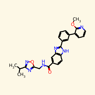 COc1ncccc1-c1cccc(-c2nc3cc(C(=O)NCc4nc(C(C)C)no4)ccc3[nH]2)c1